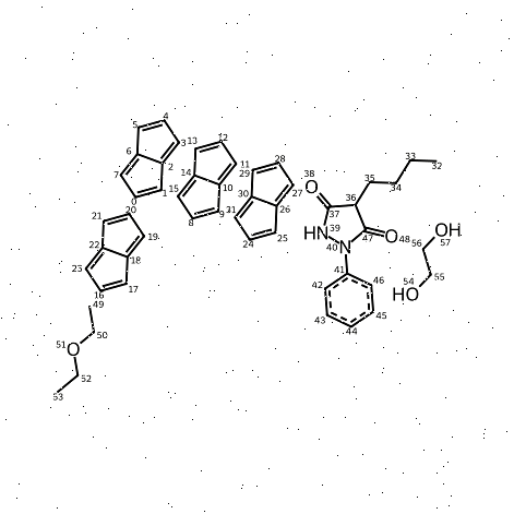 C1=CC2=CC=CC2=C1.C1=CC2=CC=CC2=C1.C1=CC2=CC=CC2=C1.C1=CC2=CC=CC2=C1.CCCCC1C(=O)NN(c2ccccc2)C1=O.CCOCC.OCCO